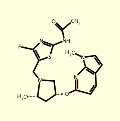 CC(=O)Nc1nc(F)c(CN2C[C@H](Oc3ccc4ccn(C)c4n3)C[C@@H]2C)s1